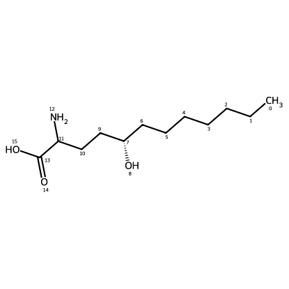 CCCCCCC[C@H](O)CCC(N)C(=O)O